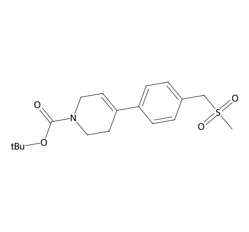 CC(C)(C)OC(=O)N1CC=C(c2ccc(CS(C)(=O)=O)cc2)CC1